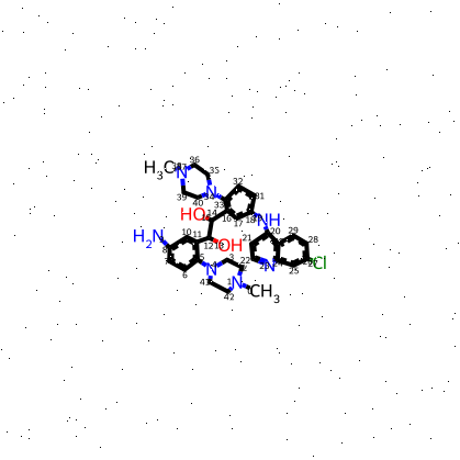 CN1CCN(c2ccc(N)cc2C(O)C(O)c2cc(Nc3ccnc4cc(Cl)ccc34)ccc2N2CCN(C)CC2)CC1